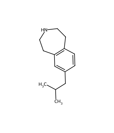 CC(C)Cc1ccc2c(c1)CCNCC2